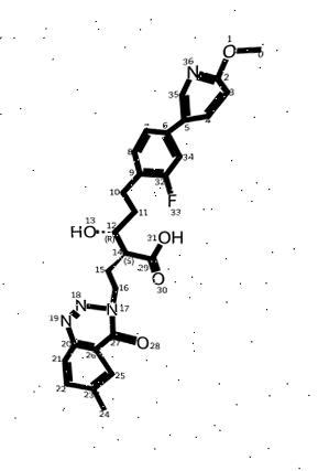 COc1ccc(-c2ccc(CC[C@@H](O)[C@H](CCn3nnc4ccc(C)cc4c3=O)C(=O)O)c(F)c2)cn1